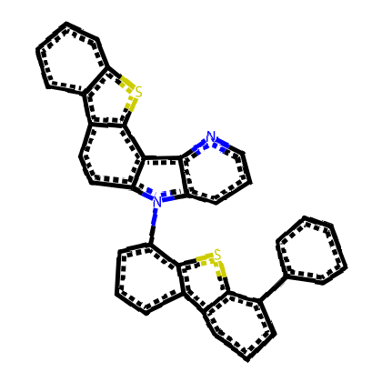 c1ccc(-c2cccc3c2sc2c(-n4c5cccnc5c5c6sc7ccccc7c6ccc54)cccc23)cc1